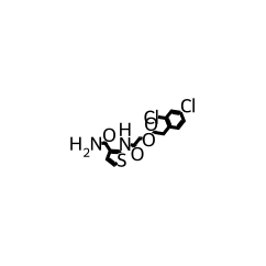 NC(=O)c1ccsc1NC(=O)COC(=O)Cc1ccc(Cl)cc1Cl